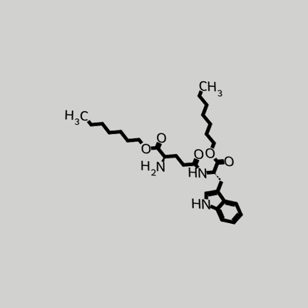 CCCCCCCOC(=O)[C@H](N)CCC(=O)N[C@@H](Cc1c[nH]c2ccccc12)C(=O)OCCCCCCC